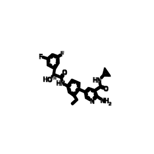 CCc1cc(NC(=O)[C@@H](O)c2cc(F)cc(F)c2)ccc1-c1cnc(N)c(C(=O)NC2CC2)c1